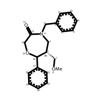 COC[C@H]1CN(Cc2ccccc2)C(=O)COC1c1ccccc1